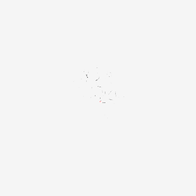 CC(C)CCC1(COC(=O)C2=C(Cl)C(Cl)CC(Cl)=C2OC(=O)C(=O)Oc2c(Cl)cc(Cl)c(Cl)c2C(=O)OCC2(CCC(C)C)CC2)CC1